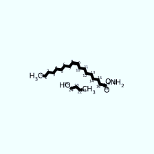 CCCCCCCC/C=C\CCCCCCCC(=O)ON.CCCCO